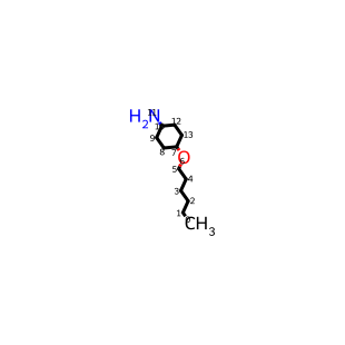 CCCCCCOC1CCC(N)CC1